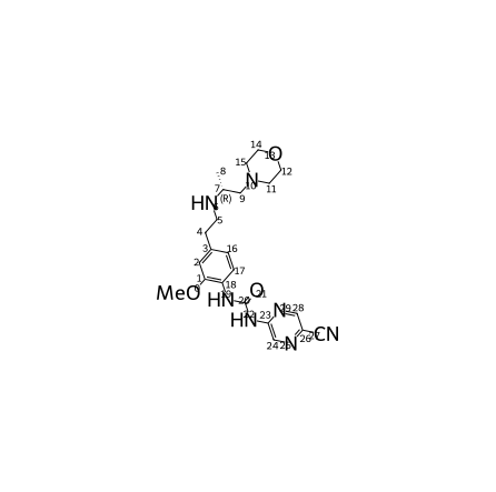 COc1cc(CCN[C@H](C)CN2CCOCC2)ccc1NC(=O)Nc1cnc(C#N)cn1